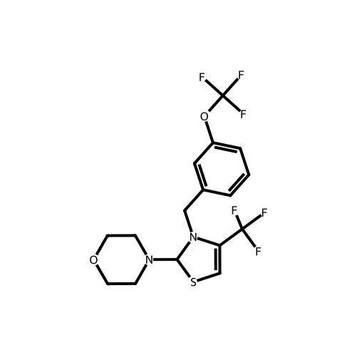 FC(F)(F)Oc1cccc(CN2C(C(F)(F)F)=CSC2N2CCOCC2)c1